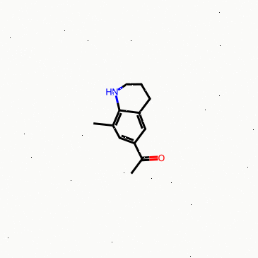 CC(=O)c1cc(C)c2c(c1)CCCN2